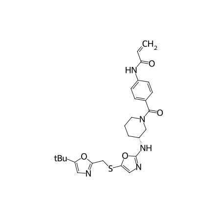 C=CC(=O)Nc1ccc(C(=O)N2CCC[C@@H](Nc3ncc(SCc4ncc(C(C)(C)C)o4)o3)C2)cc1